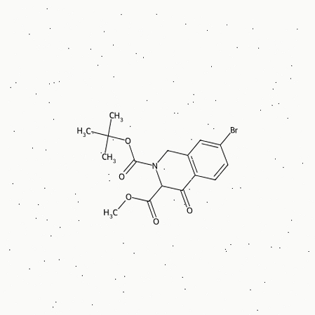 COC(=O)C1C(=O)c2ccc(Br)cc2CN1C(=O)OC(C)(C)C